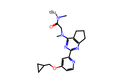 CN(CC(=O)N(C)C(C)(C)C)c1nc(-c2cc(OCC3CC3)ccn2)nc2c1CCC2